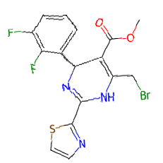 COC(=O)C1=C(CBr)NC(c2nccs2)=NC1c1cccc(F)c1F